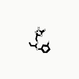 CCC(Oc1cccc(I)c1)SCc1n[nH]c(=S)o1